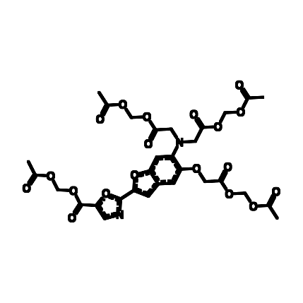 CC(=O)OCOC(=O)COc1cc2cc(-c3ncc(C(=O)OCOC(C)=O)o3)oc2cc1N(CC(=O)OCOC(C)=O)CC(=O)OCOC(C)=O